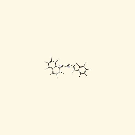 CC1=C(C)N(C)c2c(C)c(C)c(C)c(C)c2/C1=C/C=C/c1sc2c(C)c(C)c(C)c(C)c2c1C